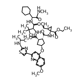 C=CC1C[C@]1(NC(=O)[C@@H]1C[C@@H](Oc2cc(-c3csc(NC(C)C)n3)nc3cc(OC)ccc23)C[C@H]1C(=O)N[C@H](C(=O)N[C@H](C(=O)NC)C1CCCCC1)C(C)(C)C)C(=O)OCC